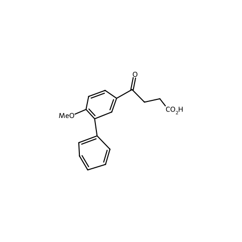 COc1ccc(C(=O)CCC(=O)O)cc1-c1ccccc1